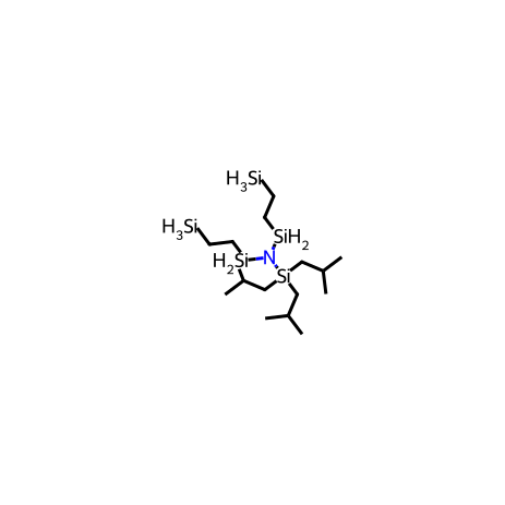 CC(C)C[Si](CC(C)C)(CC(C)C)N([SiH2]CC[SiH3])[SiH2]CC[SiH3]